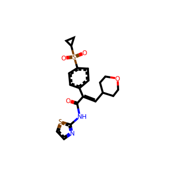 O=C(Nc1nccs1)/C(=C/C1CCOCC1)c1ccc(S(=O)(=O)C2CC2)cc1